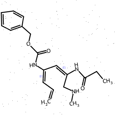 C=C/C=C(\C=C(/CNC)NC(=O)CC)NC(=O)OCc1ccccc1